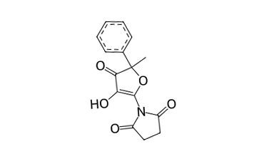 CC1(c2ccccc2)OC(N2C(=O)CCC2=O)=C(O)C1=O